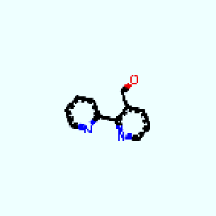 O=Cc1cccnc1-c1ccccn1